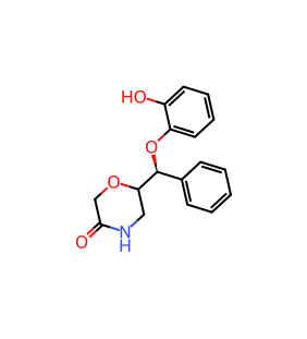 O=C1COC([C@@H](Oc2ccccc2O)c2ccccc2)CN1